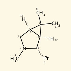 CC(C)[C@H]1[C@H]2[C@@H](CN1C)C2(C)C